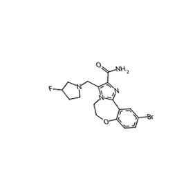 NC(=O)c1nc2n(c1CN1CCC(F)C1)CCOc1ccc(Br)cc1-2